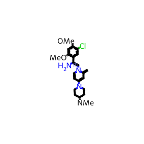 C=C1C=C(N2CCC(NC)CC2)C=CN1/C=C(\N)c1cc(Cl)c(OC)cc1OC